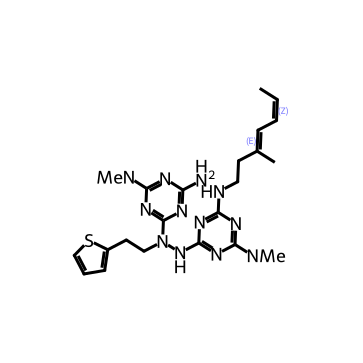 C/C=C\C=C(/C)CCNc1nc(NC)nc(NN(CCc2cccs2)c2nc(N)nc(NC)n2)n1